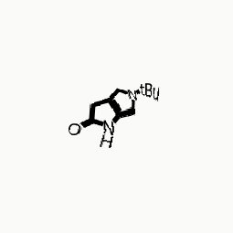 CC(C)(C)N1CC2=C(C1)NC(=O)C2